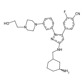 N#Cc1ccc(-c2cc(NCC3CCC[C@H](N)C3)nn2-c2cccc(N3CCN(CCO)CC3)c2)cc1F